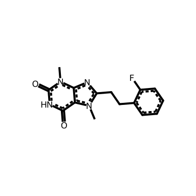 Cn1c(CCc2ccccc2F)nc2c1c(=O)[nH]c(=O)n2C